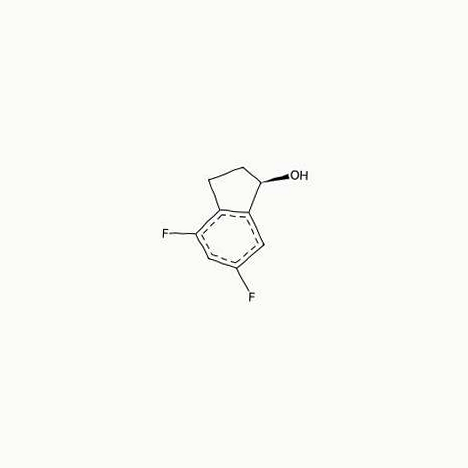 O[C@@H]1CCc2c(F)cc(F)cc21